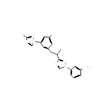 COc1cccc(-n2cnc(C(C)Cc3cc(F)cc(-n4cnc(C(C)(C)C)n4)c3)n2)c1